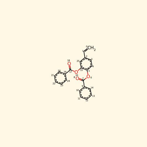 C=Cc1ccc(OC(=O)c2ccccc2)c(OC(=O)c2ccccc2)c1